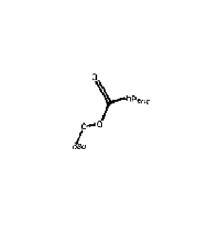 CCCCCC(=O)OOCCCC